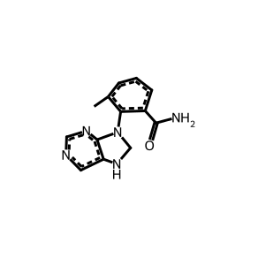 Cc1cccc(C(N)=O)c1N1CNc2cncnc21